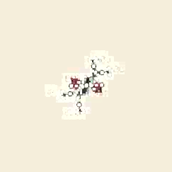 CCn1c2ccccc2c2cc(-c3c4nn(CC(COc5ccc(C(=O)OCC(C)C)cc5)(COc5ccc(C(=O)OCC(C)C)cc5)COc5ccc(C(=O)OCC(C)C)cc5)nc4c(-c4ccc5c(c4)c4ccccc4n5CC)c4[n-][n+](CC(COc5ccc(C(=O)OCC(C)C)cc5)(COc5ccc(C(=O)OCC(C)C)cc5)COc5ccc(C(=O)OCC(C)C)cc5)nc34)ccc21